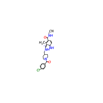 CC1=C(C(=O)NCC#N)C=CC(=N)/C1=C\NCC1CCN(C(=O)c2ccc(Cl)cc2)CC1